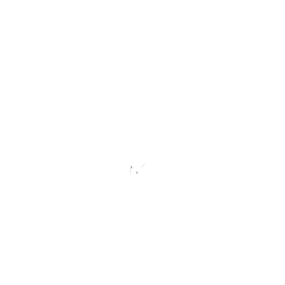 CCOC[C](C)C1=NCCS1